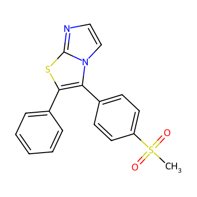 CS(=O)(=O)c1ccc(-c2c(-c3ccccc3)sc3nccn23)cc1